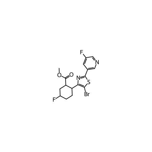 COC(=O)C1CC(F)CCC1c1nc(-c2cncc(F)c2)sc1Br